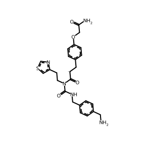 NCc1ccc(CNC(=O)N(CCc2cscn2)C(=O)[CH]Cc2ccc(OCC(N)=O)cc2)cc1